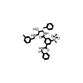 Cc1cccc(CNC[C@@H](O)[C@H](Cc2ccccc2)NC(=O)c2cc(C(=O)N[C@H](C)c3ccccc3)cc(N(C)S(C)(=O)=O)c2)c1